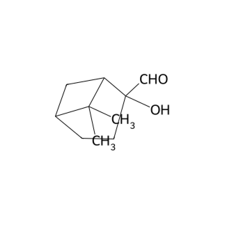 CC1(C)C2CCC(O)(C=O)C1C2